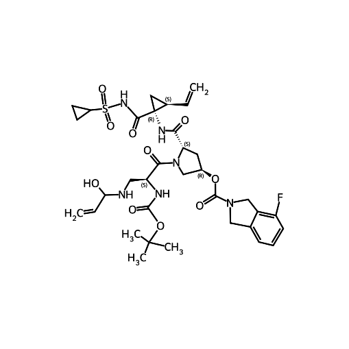 C=CC(O)NC[C@H](NC(=O)OC(C)(C)C)C(=O)N1C[C@H](OC(=O)N2Cc3cccc(F)c3C2)C[C@H]1C(=O)N[C@]1(C(=O)NS(=O)(=O)C2CC2)C[C@H]1C=C